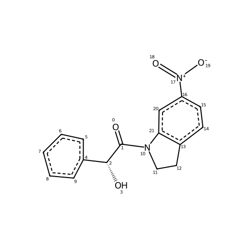 O=C([C@H](O)c1ccccc1)N1CCc2ccc([N+](=O)[O-])cc21